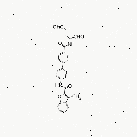 Cc1c(C(=O)Nc2ccc(-c3ccc(C(=O)N[C@H](C=O)CCC=O)cc3)cc2)oc2ccccc12